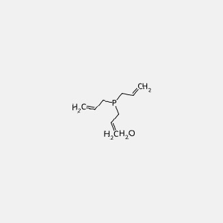 C=CCP(CC=C)CC=C.O